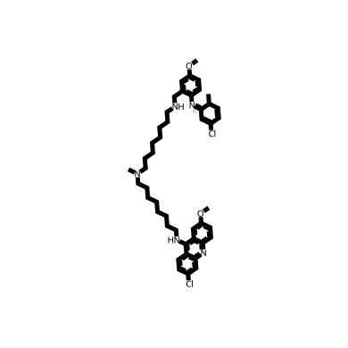 COc1ccc(/N=C2/C=C(Cl)C=CC2C)c(CNCCCCCCCCN(C)CCCCCCCCNc2c3ccc(Cl)cc3nc3ccc(OC)cc23)c1